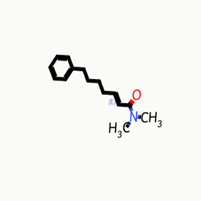 CN(C)C(=O)/C=C/CCCCc1ccccc1